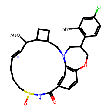 CCCc1cc(Cl)ccc1C1COc2ccc3cc2N(C1)CC1CCC1C(OC)/C=C/CCC[S+]([O-])NC3=O